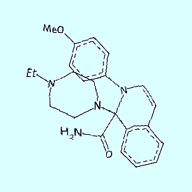 CCN1CCN(C2(C(N)=O)c3ccccc3C=CN2c2ccc(OC)cc2)CC1